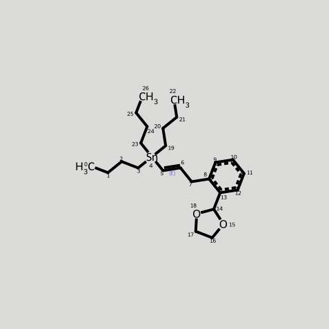 CCC[CH2][Sn](/[CH]=C/Cc1ccccc1C1OCCO1)([CH2]CCC)[CH2]CCC